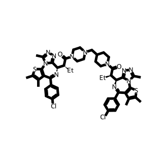 CC[C@@H](C(=O)N1CCC(CN2CCN(C(=O)[C@H](CC)[C@@H]3N=C(c4ccc(Cl)cc4)c4c(sc(C)c4C)-n4c(C)nnc43)CC2)CC1)[C@@H]1N=C(c2ccc(Cl)cc2)c2c(sc(C)c2C)-n2c(C)nnc21